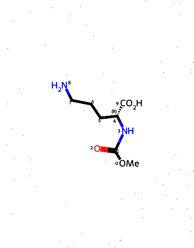 COC(=O)N[C@H](CCCN)C(=O)O